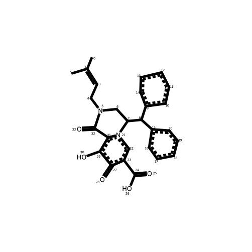 CC(C)=CCN1CC(C(c2ccccc2)c2ccccc2)n2cc(C(=O)O)c(=O)c(O)c2C1=O